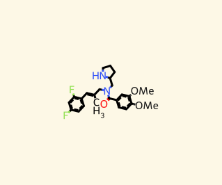 COc1ccc(C(=O)N(C/C(C)=C/c2ccc(F)cc2F)CC2CCCN2)cc1OC